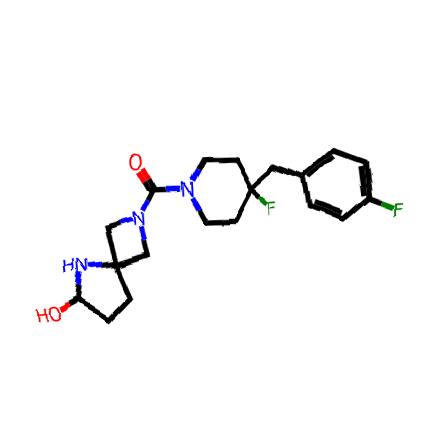 O=C(N1CCC(F)(Cc2ccc(F)cc2)CC1)N1CC2(CCC(O)N2)C1